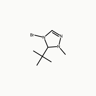 CN1N=CN(Br)C1C(C)(C)C